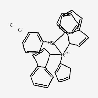 C1=CC[C]([Hf+2]([CH]2C=Cc3ccccc32)([CH]2C=Cc3ccccc32)[SiH](c2ccccc2)c2ccccc2)=C1.[Cl-].[Cl-]